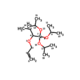 C=CCOC(CC)[Si](OC(C)C)(OC(C)C)OC(C)C